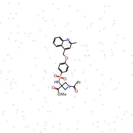 COC(=O)C1(NS(=O)(=O)c2ccc(OCc3cc(C)nc4ccccc34)cc2)CN(C(=O)C(C)C)C1